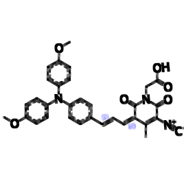 [C-]#[N+]C1=C(C)/C(=C/C=C/c2ccc(N(c3ccc(OC)cc3)c3ccc(OC)cc3)cc2)C(=O)N(CC(=O)O)C1=O